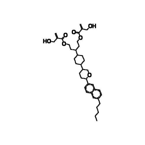 C=C(CO)C(=O)OCCC(CCOC(=O)C(=C)CO)C1CCC(C2CCC(c3ccc4cc(CCCCC)ccc4c3)OC2)CC1